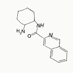 NC1CCCCC1NC(=O)c1cc2ccccc2cn1